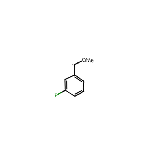 CO[CH]c1cccc(F)c1